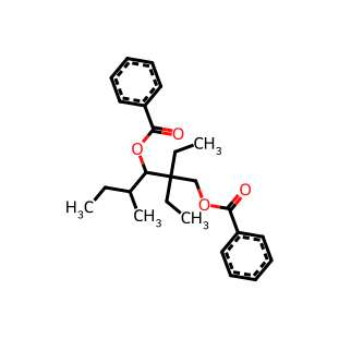 CCC(C)C(OC(=O)c1ccccc1)C(CC)(CC)COC(=O)c1ccccc1